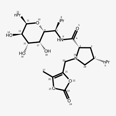 CCC[C@H]1C[C@@H](C(=O)N[C@H](C(C)C)[C@H]2O[C@H](CCC)[C@H](O)[C@@H](O)[C@H]2O)N(Cc2oc(=O)oc2C)C1